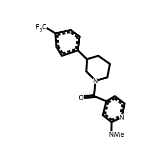 CNc1cc(C(=O)N2CCCC(c3ccc(C(F)(F)F)cc3)C2)ccn1